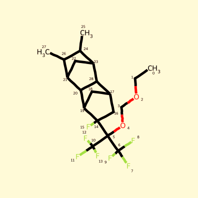 CCOCOC(C(F)(F)F)(C(F)(F)F)C1(F)CC2CC1C1C3CC(C(C)C3C)C21